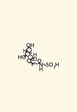 C[C@H](CCC(=O)NCCS(=O)(=O)O)[C@H]1CCC2C3C(C[C@H](O)[C@@]21C)[C@@]1(C)CC[C@@H](O)C[C@H]1C[C@@H]3O